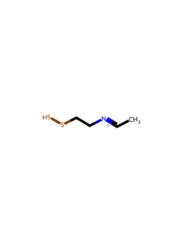 C/C=N/CCSS